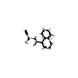 C#CC(=O)CC(C)c1cccc2ccccc12